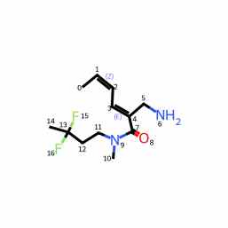 C/C=C\C=C(/CN)C(=O)N(C)CCC(C)(F)F